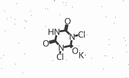 O=c1[nH]c(=O)n(Cl)c(=O)n1Cl.[K]